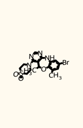 Cc1cc(Br)cc2c1OC(C)c1c(ncnc1N1CCS(=O)(=O)CC1)N2